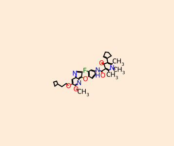 COc1nc2c(Oc3ccc(NC(=O)c4c(C)n(C)c(C)c(C5=CCCC5)c4=O)cc3F)ccnc2cc1OCCC1CCC1